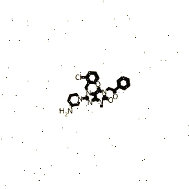 Cn1c(=O)n(CC(=O)c2ccccc2)c(=O)c2c1nc(N1CCC[C@@H](N)C1)n2Cc1ccccc1Cl